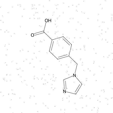 O=C(O)c1ccc(Cn2ccnc2)cc1